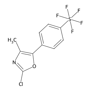 Cc1nc(Cl)oc1-c1ccc(S(F)(F)(F)(F)F)cc1